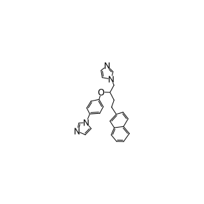 c1ccc2cc(CCC(Cn3ccnc3)Oc3ccc(-n4ccnc4)cc3)ccc2c1